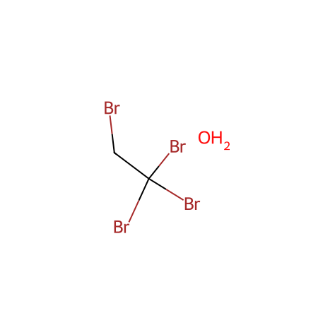 BrCC(Br)(Br)Br.O